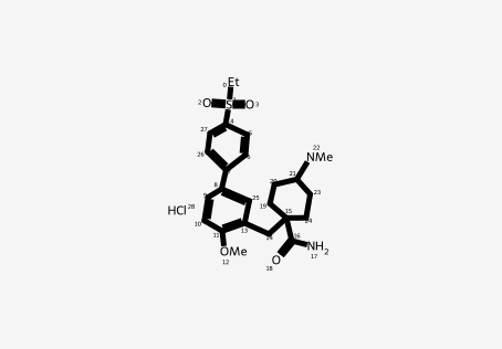 CCS(=O)(=O)c1ccc(-c2ccc(OC)c(CC3(C(N)=O)CCC(NC)CC3)c2)cc1.Cl